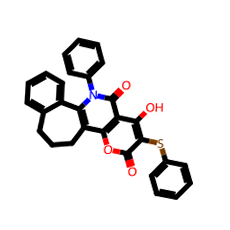 O=c1oc2c3c(n(-c4ccccc4)c(=O)c2c(O)c1Sc1ccccc1)-c1ccccc1CCC3